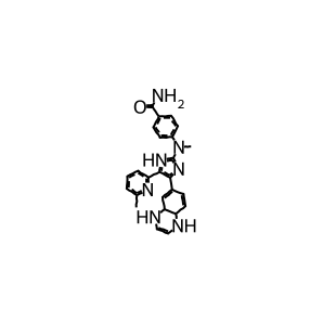 Cc1cccc(-c2[nH]c(N(C)c3ccc(C(N)=O)cc3)nc2C2=CC3NC=CNC3C=C2)n1